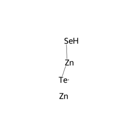 [SeH][Zn][Te].[Zn]